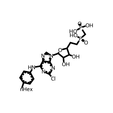 CCCCCCc1ccc(Nc2nc(Cl)nc3c2ncn3C2OC(CCP(=O)(O)CP(=O)(O)O)C(O)C2O)cc1